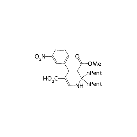 CCCCCC1(CCCCC)NC=C(C(=O)O)C(c2cccc([N+](=O)[O-])c2)C1C(=O)OC